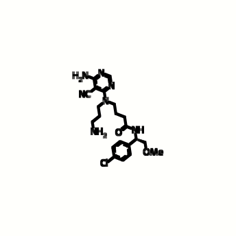 COC[C@H](NC(=O)CCCN(CCCN)c1ncnc(N)c1C#N)c1ccc(Cl)cc1